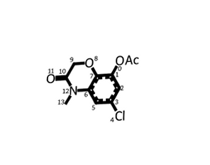 CC(=O)Oc1cc(Cl)cc2c1OCC(=O)N2C